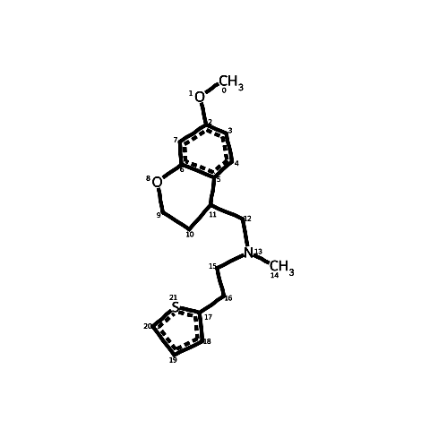 COc1ccc2c(c1)OCCC2CN(C)CCc1cccs1